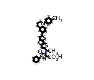 C/C(=C1/C(=O)N(c2ccccc2)N=C1C(=O)O)c1cc2sc3cc(-c4ccc5c(c4)CCCN5c4ccc(C)cc4)sc3c2s1